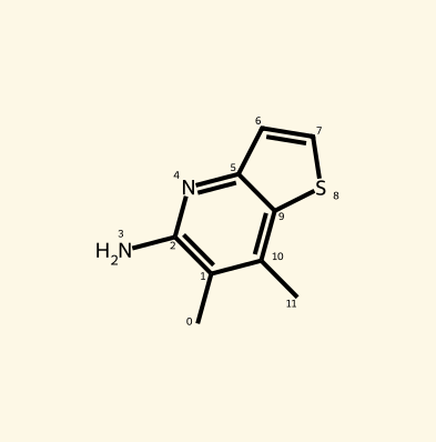 Cc1c(N)nc2ccsc2c1C